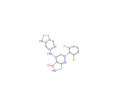 O=C1NCc2nc(-c3c(F)cccc3F)cc(Nc3cc4c(cn3)CCN4)c21